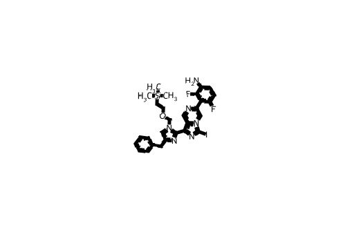 C[Si](C)(C)CCOCn1cc(Cc2ccccc2)nc1-c1nc(I)n2cc(-c3c(F)ccc(N)c3F)ncc12